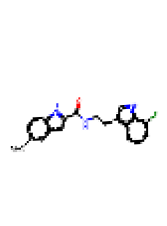 COc1ccc2[nH]c(C(=O)NCCc3c[nH]c4c(F)cccc34)cc2c1